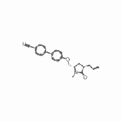 C=CC[C@@H]1C[C@@H](COc2ccc(-c3ccc(C#N)cc3)cc2)N(C)C1=O